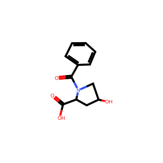 O=C(O)C1CC(O)CN1C(=O)c1ccccc1